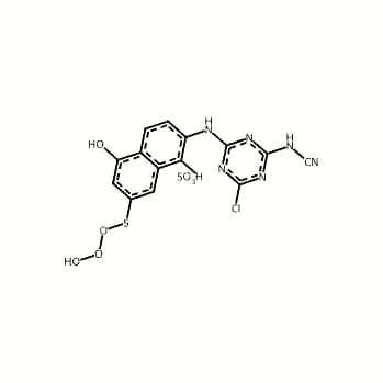 N#CNc1nc(Cl)nc(Nc2ccc3c(O)cc(SOOO)cc3c2S(=O)(=O)O)n1